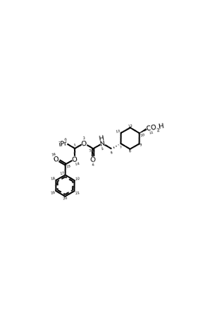 CC(C)C(OC(=O)NC[C@H]1CC[C@H](C(=O)O)CC1)OC(=O)c1ccccc1